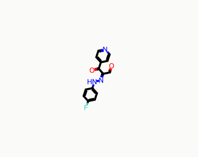 O=C/C(=N/Nc1ccc(F)cc1)C(=O)c1ccncc1